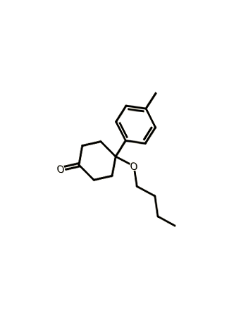 CCCCOC1(c2ccc(C)cc2)CCC(=O)CC1